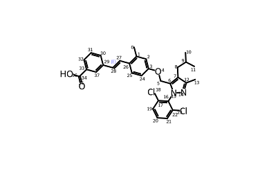 Cc1cc(OCc2c(CC(C)C)c(C)nn2-c2c(Cl)cccc2Cl)ccc1/C=C/c1cccc(C(=O)O)c1